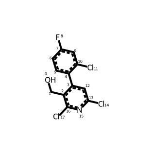 OCc1c(-c2ccc(F)cc2Cl)cc(Cl)nc1Cl